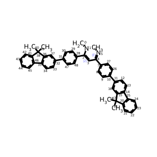 C=N/C(=C\C(=N/C)c1ccc(-c2ccc3c(c2)C(C)(C)c2ccccc2-3)cc1)c1ccc(-c2ccc3c(c2)C(C)(C)c2ccccc2-3)cc1